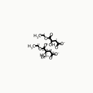 CCOC(=O)C(O)CC(=O)[O-].CCOC(=O)C(O)CC(=O)[O-].[Fe+2]